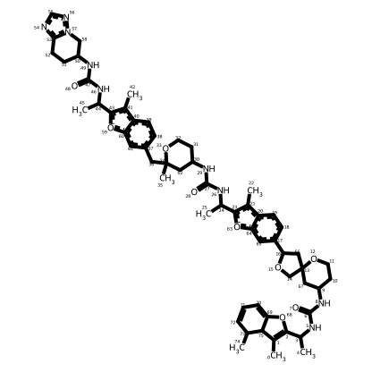 CC1=C(C(C)NC(=O)NC2CCOC3(COC(c4ccc5c(C)c(C(C)NC(=O)NC6CCOC(C)(Cc7ccc8c(C)c(C(C)NC(=O)NC9CCc%10ncnn%10C9)oc8c7)C6)oc5c4)C3)C2)OC2=CC=CC(C)C21